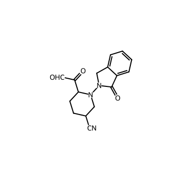 N#CC1CCC(C(=O)C=O)N(N2Cc3ccccc3C2=O)C1